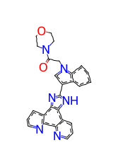 O=C(Cn1cc(-c2nc3c4cccnc4c4ncccc4c3[nH]2)c2ccccc21)N1CCOCC1